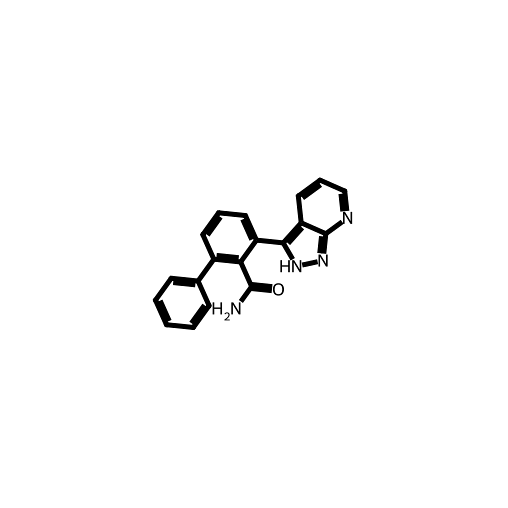 NC(=O)c1c(-c2ccccc2)cccc1-c1[nH]nc2ncccc12